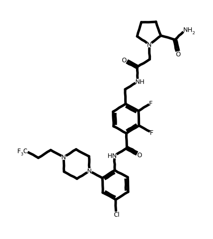 NC(=O)C1CCCN1CC(=O)NCc1ccc(C(=O)Nc2ccc(Cl)cc2N2CCN(CCC(F)(F)F)CC2)c(F)c1F